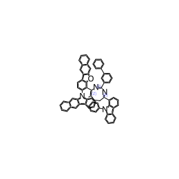 C/C1=C(c2c(-n3c4ccccc4c4cc5ccccc5cc43)ccc3c2oc2cc4ccccc4cc23)/N=C(c2cccc(-c3ccccc3)c2)\N=C(\c2cccc3c4ccccc4n(-c4ccccc4)c23)CC1